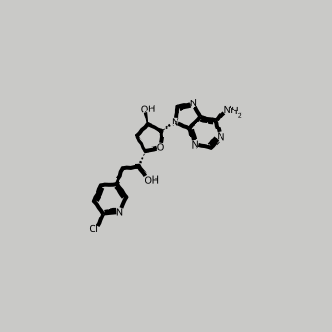 Nc1ncnc2c1ncn2[C@@H]1O[C@H](C(O)Cc2ccc(Cl)nc2)C[C@H]1O